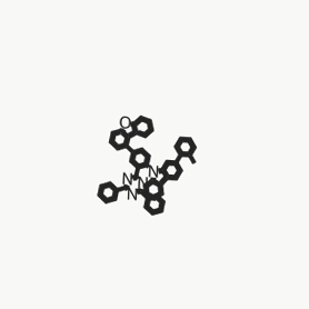 Cc1ccccc1-c1ccc2c3ccccc3n(-c3ccc(-c4cccc5oc6ccccc6c45)cc3-c3nc(-c4ccccc4)nc(-c4ccccc4)n3)c2c1